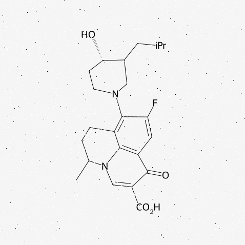 CC(C)CC1CN(c2c(F)cc3c(=O)c(C(=O)O)cn4c3c2CCC4C)CC[C@@H]1O